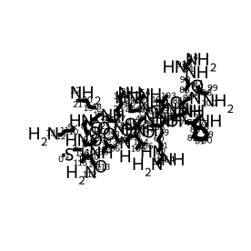 CSCC[C@H](NC(=O)[C@H](CCCCN)NC(=O)[C@H](CCCCN)NC(=O)[C@H](CCCCN)NC(=O)[C@H](CC(C)C)NC(=O)[C@@H](NC(=O)[C@H](CCCNC(=N)N)NC(=O)[C@H](CCCNC(=N)N)NC(=O)[C@@H](NC(=O)[C@H](Cc1c[nH]c2ccccc12)NC(=O)[C@H](CCCNC(=N)N)NC(=O)[C@H](C)N)C(C)C)C(C)C)C(=O)N[C@H](C(N)=O)C(C)C